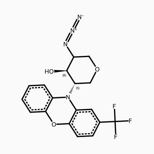 [N-]=[N+]=NC1COC[C@H](N2c3ccccc3Oc3ccc(C(F)(F)F)cc32)[C@H]1O